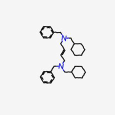 C(=CCN(Cc1ccccc1)CC1CCCCC1)CN(Cc1ccccc1)CC1CCCCC1